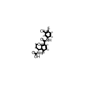 O=C(O)N[C@@H]1CCOc2c(C(=O)Nc3ccc(F)c(Cl)c3)ccc(F)c21